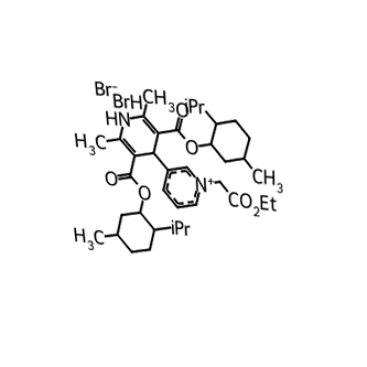 Br.CCOC(=O)C[n+]1cccc(C2C(C(=O)OC3CC(C)CCC3C(C)C)=C(C)NC(C)=C2C(=O)OC2CC(C)CCC2C(C)C)c1.[Br-]